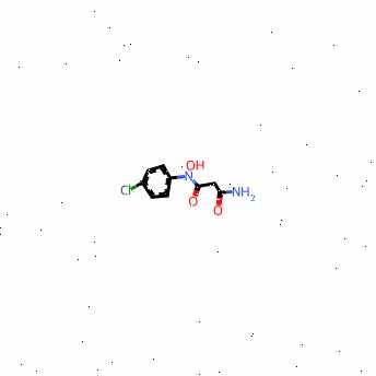 NC(=O)CC(=O)N(O)c1ccc(Cl)cc1